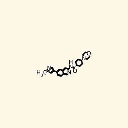 Cn1cc(-c2ccc3cnc(NC(=O)[C@H]4CC[C@@H](N5CCOCC5)CC4)cc3c2)cn1